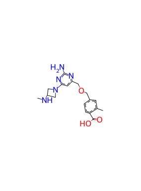 CNC1CN(c2cc(COCc3ccc(C(=O)O)c(C)c3)nc(N)n2)C1